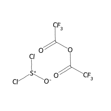 O=C(OC(=O)C(F)(F)F)C(F)(F)F.[O-][S+](Cl)Cl